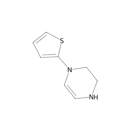 C1=CN(c2cccs2)CCN1